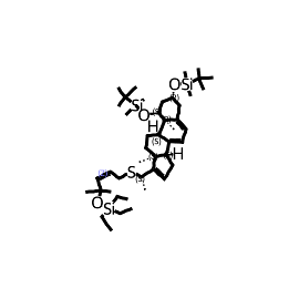 CC[Si](CC)(CC)OC(C)(C)/C=C\CS[C@@H](C)C1=CC[C@H]2C3=CC=C4C[C@@H](O[Si](C)(C)C(C)(C)C)C[C@H](O[Si](C)(C)C(C)(C)C)[C@]4(C)[C@H]3CC[C@]12C